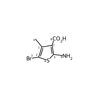 Cc1c(Br)sc(N)c1C(=O)O